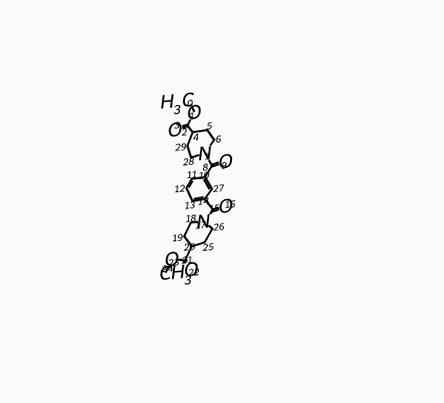 COC(=O)C1CCN(C(=O)c2cccc(C(=O)N3CCC(C(=O)OC)CC3)c2)CC1